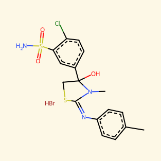 Br.Cc1ccc(/N=C2/SCC(O)(c3ccc(Cl)c(S(N)(=O)=O)c3)N2C)cc1